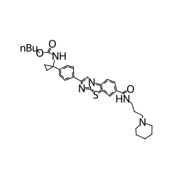 CCCCOC(=O)NC1(c2ccc(-c3cn4c(n3)sc3cc(C(=O)NCCCN5CCCCC5)ccc34)cc2)CC1